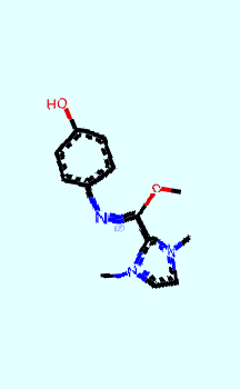 CO/C(=N\c1ccc(O)cc1)c1n(C)cc[n+]1C